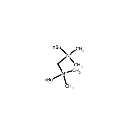 CCCC[N+](C)(C)C[N+](C)(C)CCCC